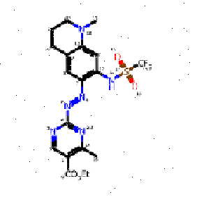 CCOC(=O)c1cnc(N=Nc2cc3c(cc2NS(=O)(=O)C(F)(F)F)N(C)CCC3)nc1C